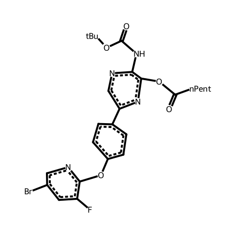 CCCCCC(=O)Oc1nc(-c2ccc(Oc3ncc(Br)cc3F)cc2)cnc1NC(=O)OC(C)(C)C